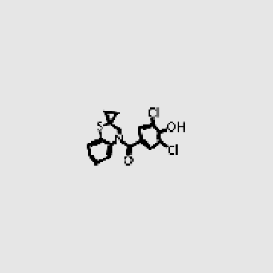 O=C(c1cc(Cl)c(O)c(Cl)c1)N1CC2(CC2)Sc2ccccc21